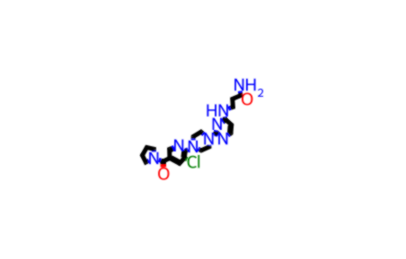 NC(=O)CCNc1ccnc(N2CCN(c3ncc(C(=O)N4CCCC4)cc3Cl)CC2)n1